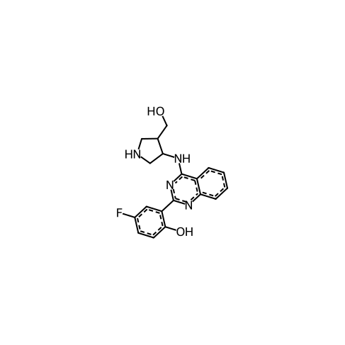 OCC1CNCC1Nc1nc(-c2cc(F)ccc2O)nc2ccccc12